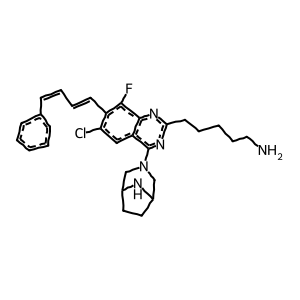 NCCCCCc1nc(N2CC3CCC(C2)N3)c2cc(Cl)c(/C=C/C=C\c3ccccc3)c(F)c2n1